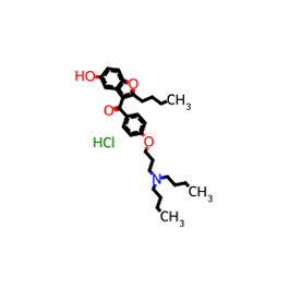 CCCCc1oc2ccc(O)cc2c1C(=O)c1ccc(OCCCN(CCCC)CCCC)cc1.Cl